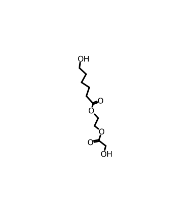 O=C(CO)OCCOC(=O)CCCCCO